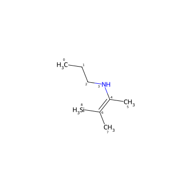 CCCNC(C)=C(C)[SiH3]